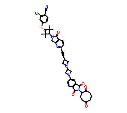 CC1(C)[C@H](Oc2ccc(C#N)c(Cl)c2)C(C)(C)[C@H]1N1Cc2nc(C#CC3CN(C4CN(c5ccc6c(c5)C(=O)N(C5CCC(=O)CCCC5=O)C6=O)C4)C3)ccc2C1=O